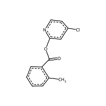 Cc1ccccc1C(=O)Oc1cc(Cl)ccn1